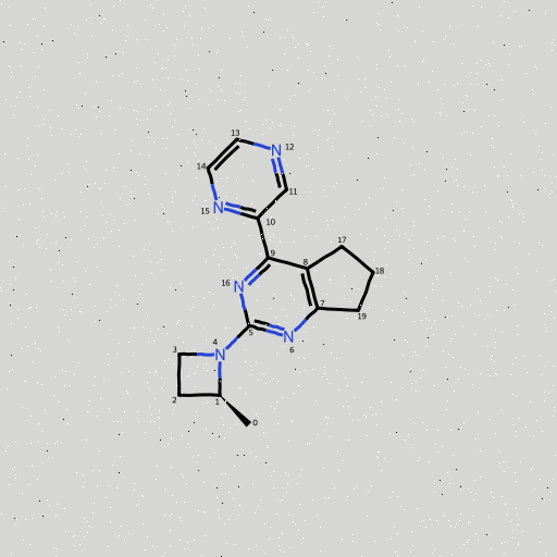 C[C@H]1CCN1c1nc2c(c(-c3cnccn3)n1)CCC2